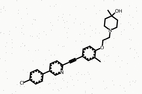 Cc1cc(C#Cc2ccc(-c3ccc(Cl)cc3)cn2)ccc1OCCN1CCC(C)(O)CC1